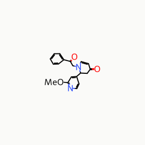 COc1cc(C2CC(=O)C=CN2CC(=O)c2ccccc2)ccn1